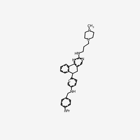 CCCc1ccc(CNc2ccc(C3Cc4cnc(NCCCN5CCN(C)CC5)nc4-c4ccccc43)cc2)cc1